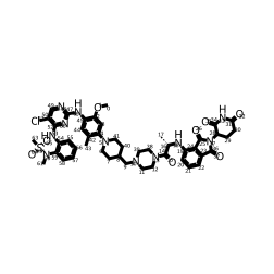 COc1cc(N2CCC(CN3CCN(C(=O)[C@H](C)Nc4cccc5c4C(=O)N(C4CCC(=O)NC4=O)C5=O)CC3)CC2)c(C)cc1Nc1ncc(Cl)c(Nc2ccccc2N(C)S(C)(=O)=O)n1